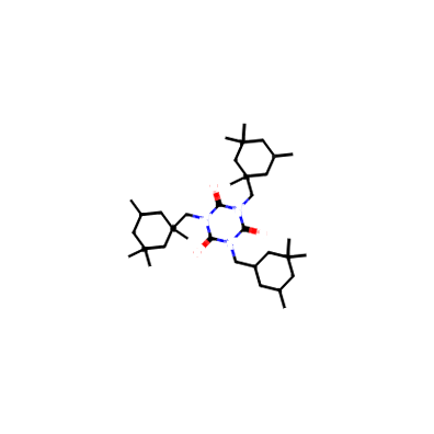 CC1CC(Cn2c(=O)n(CC3(C)CC(C)CC(C)(C)C3)c(=O)n(CC3(C)CC(C)CC(C)(C)C3)c2=O)CC(C)(C)C1